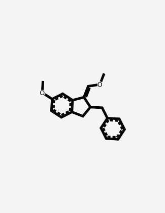 CO/C=C1/c2cc(OC)ccc2CC1Cc1ccccc1